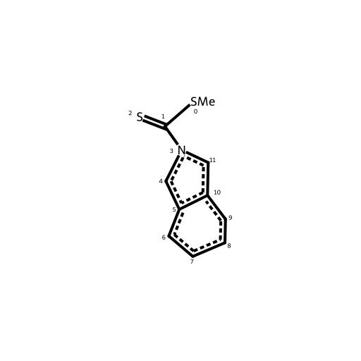 CSC(=S)n1cc2ccccc2c1